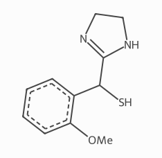 COc1ccccc1C(S)C1=NCCN1